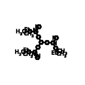 CCC(C)(C)c1ccc(-c2cc(-c3ccc(-c4cc(-c5ccc(-c6cc(-c7ccc(C(C)(C)CC)cc7)nc(-c7ccccn7)c6)cc5)cc(-c5ccc(-c6cc(-c7ccc(C(C)(C)CC)cc7)nc(-c7ccccn7)c6)cc5)c4)cc3)cc(-c3ccccn3)n2)cc1